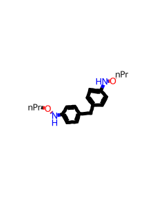 CCCONc1ccc(Cc2ccc(NOCCC)cc2)cc1